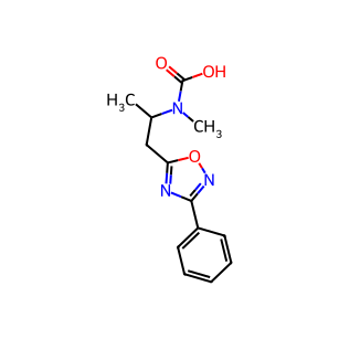 CC(Cc1nc(-c2ccccc2)no1)N(C)C(=O)O